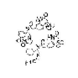 CN(C(=O)Cc1ccc2c(c1)NC(=O)CS2(=O)=O)[C@H](CN1CC[C@H](O)C1)C1CCCCC1.COc1cccc([C@@H](CN2CC[C@H](O)C2)N(C)C(=O)Cc2ccc3c(c2)NC(=O)CS3(=O)=O)c1